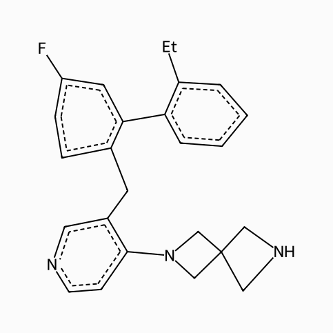 CCc1ccccc1-c1cc(F)ccc1Cc1cnccc1N1CC2(CNC2)C1